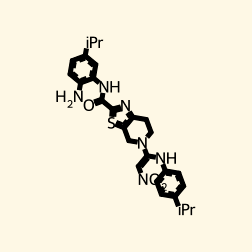 CC(C)c1ccc(NC(=C[N+](=O)[O-])N2CCc3nc(C(=O)Nc4cc(C(C)C)ccc4N)sc3C2)cc1